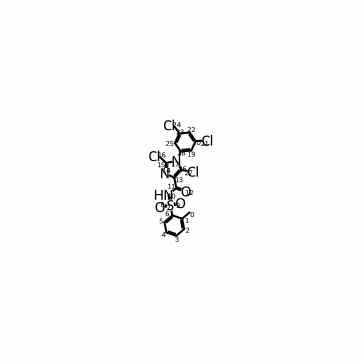 Cc1ccccc1S(=O)(=O)NC(=O)c1nc(Cl)n(-c2cc(Cl)cc(Cl)c2)c1Cl